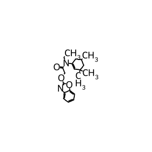 CCN(C(=O)COc1nc2ccccc2o1)C1=CC(C)(C)CC(C)C1